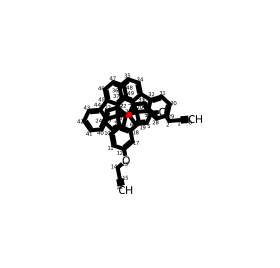 C#CCOc1ccc(C2(c3ccc(OCC#C)cc3CC3(c4ccccc4)c4ccccc4-c4ccccc43)c3ccccc3-c3ccccc32)cc1